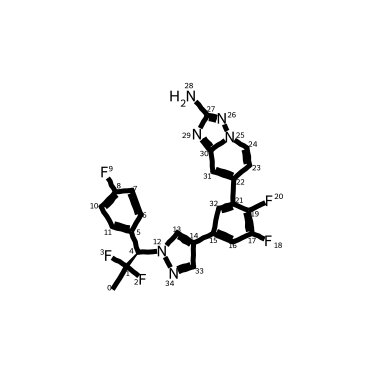 CC(F)(F)[C@@H](c1ccc(F)cc1)n1cc(-c2cc(F)c(F)c(-c3ccn4nc(N)nc4c3)c2)cn1